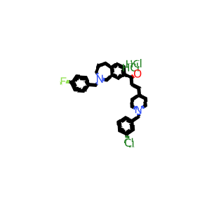 Cl.Cl.O=C(CCC1CCN(Cc2cccc(Cl)c2)CC1)c1ccc2c(c1)CN(Cc1ccc(F)cc1)CCC2